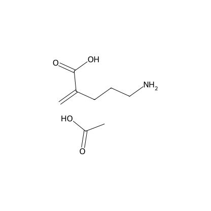 C=C(CCCN)C(=O)O.CC(=O)O